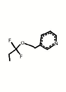 CCC(F)(F)OCc1cccnc1